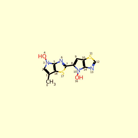 Cc1cn(O)c2nc(-c3cc4scnc4n3O)sc12